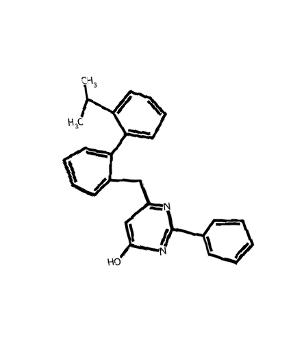 CC(C)c1ccccc1-c1ccccc1Cc1cc(O)nc(-c2ccccc2)n1